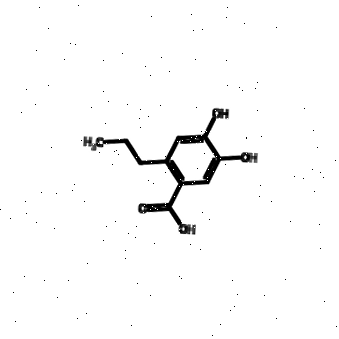 CCCc1cc(O)c(O)cc1C(=O)O